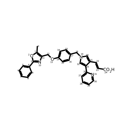 Cc1oc(-c2ccccc2)nc1COc1ccc(Cn2cc(C=CC(=O)O)c(-c3ccccn3)c2)cc1